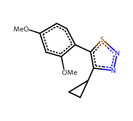 COc1ccc(-c2snnc2C2CC2)c(OC)c1